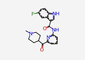 CN1CCC(C(=O)c2cccc(NC(=O)c3c[nH]c4ccc(F)cc34)n2)CC1